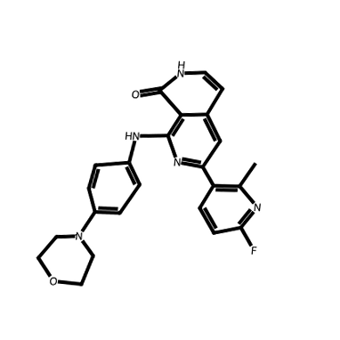 Cc1nc(F)ccc1-c1cc2cc[nH]c(=O)c2c(Nc2ccc(N3CCOCC3)cc2)n1